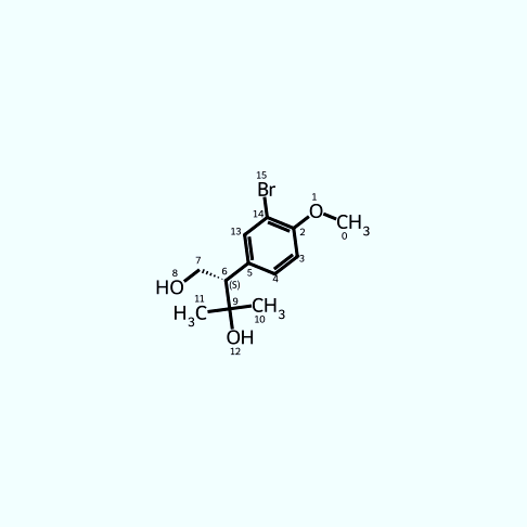 COc1ccc([C@@H](CO)C(C)(C)O)cc1Br